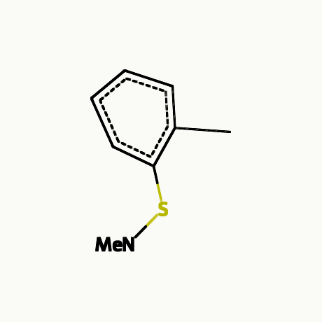 CNSc1ccccc1C